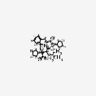 CC(C)CC(C(=O)N[C@@H](Cc1ccccc1)C(=O)OC1CCCC1)[C@](O)(C(N)=O)C1CCCC1